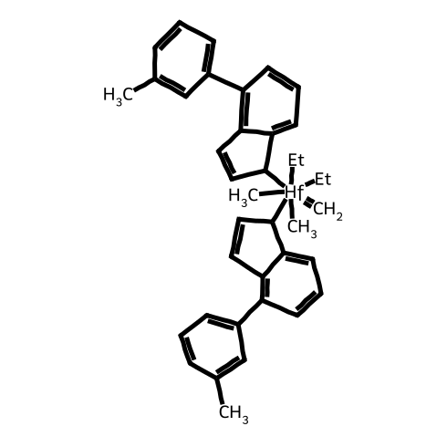 [CH2]=[Hf]([CH3])([CH3])([CH2]C)([CH2]C)([CH]1C=Cc2c(-c3cccc(C)c3)cccc21)[CH]1C=Cc2c(-c3cccc(C)c3)cccc21